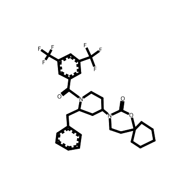 O=C1OC2(CCCCC2)CCN1C1CCN(C(=O)c2cc(C(F)(F)F)cc(C(F)(F)F)c2)C(Cc2ccccc2)C1